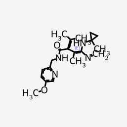 C=N/C(NC1(C)CC1)=C(\C)C(C(=O)NCc1ccc(OC)cn1)=C(C)C